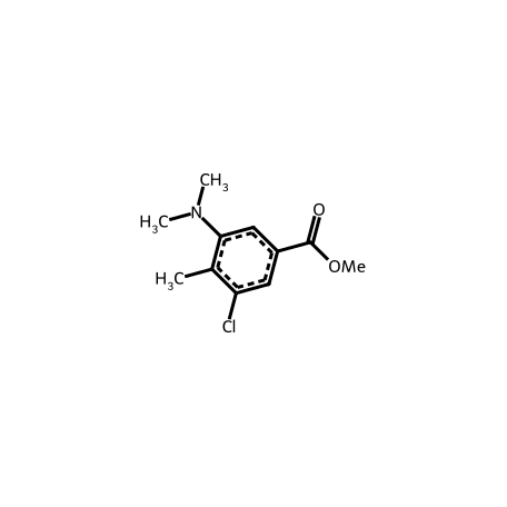 COC(=O)c1cc(Cl)c(C)c(N(C)C)c1